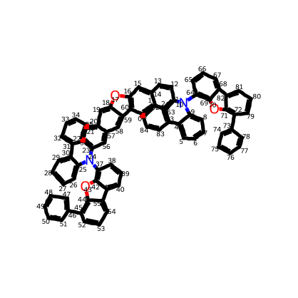 c1ccc(-c2ccccc2N(c2ccc3cc4oc5cc6ccc(N(c7ccccc7-c7ccccc7)c7cccc8c7oc7c(-c9ccccc9)cccc78)cc6cc5c4cc3c2)c2cccc3c2oc2c(-c4ccccc4)cccc23)cc1